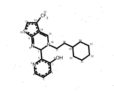 Oc1cccnc1C1N=c2scc(C(F)(F)F)c2=CN1CCC1CCCCC1